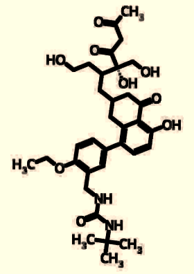 CCOc1ccc(-c2ccc(O)c3c2CC(CC(CCO)[C@](O)(CO)C(=O)CC(C)=O)CC3=O)cc1CNC(=O)NC(C)(C)C